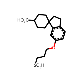 O=C(O)C1CCC2(CCc3ccc(OCCCS(=O)(=O)O)cc32)CC1